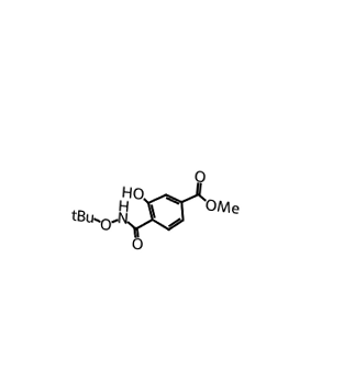 COC(=O)c1ccc(C(=O)NOC(C)(C)C)c(O)c1